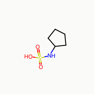 O=S(=O)(O)NC1CCCC1